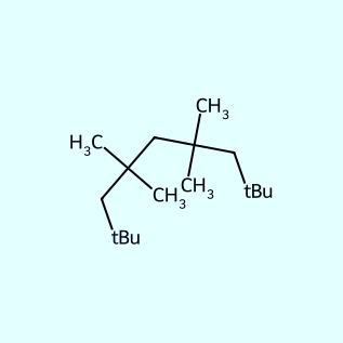 CC(C)(C)CC(C)(C)CC(C)(C)CC(C)(C)C